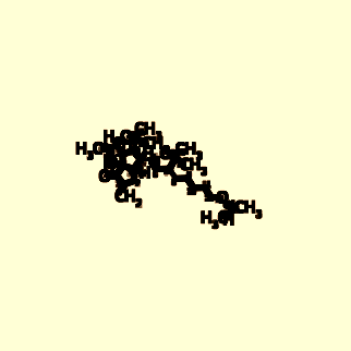 C=C1C[C@H]2[C@@H](C=C[C@H](CCCCCO[SiH](C)C)C(C)(C)C)[C@H](C(C)(C)C)C[C@@]2(O[SiH](C)C)C1=O